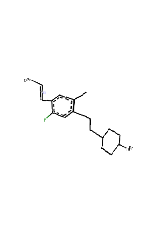 CCC/C=C/c1cc(C)c(CCC2CCC(CCC)CC2)cc1F